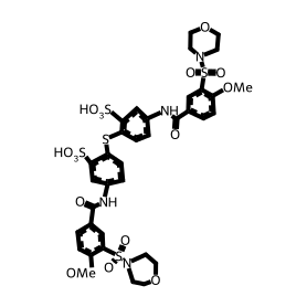 COc1ccc(C(=O)Nc2ccc(Sc3ccc(NC(=O)c4ccc(OC)c(S(=O)(=O)N5CCOCC5)c4)cc3S(=O)(=O)O)c(S(=O)(=O)O)c2)cc1S(=O)(=O)N1CCOCC1